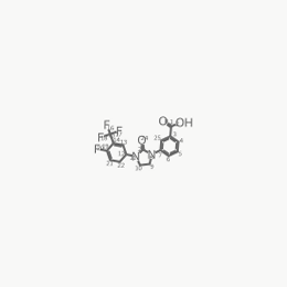 O=C(O)c1cccc(N2CCN(C3C=C(C(F)(F)F)C(F)=CC3)C2=O)c1